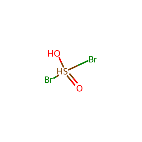 O=[SH](O)(Br)Br